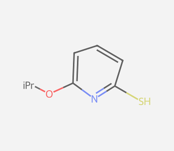 CC(C)Oc1cccc(S)n1